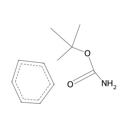 CC(C)(C)OC(N)=O.c1ccccc1